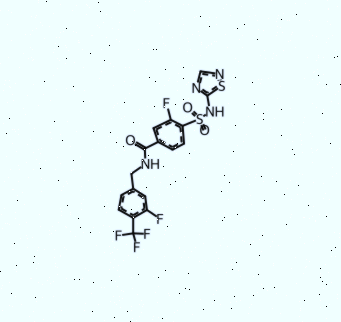 O=C(NCc1ccc(C(F)(F)F)c(F)c1)c1ccc(S(=O)(=O)Nc2ncns2)c(F)c1